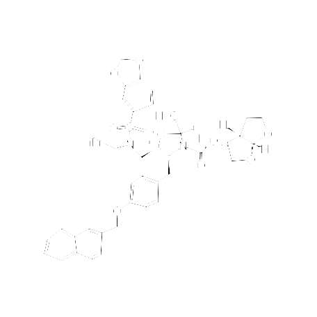 CC(C)CN(C[C@H]1OC(C)(C)N(C(=O)O[C@H]2CO[C@H]3OCC[C@H]32)[C@H]1Cc1ccc(OCc2ccc3ccccc3c2)cc1)S(=O)(=O)c1ccc2c(c1)OCO2